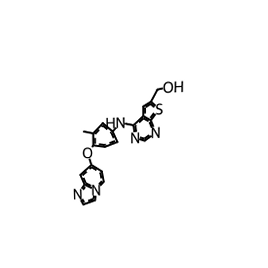 Cc1cc(Nc2ncnc3sc(CO)cc23)ccc1Oc1ccn2ccnc2c1